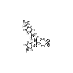 O=C(C1CCS(=O)(=O)CC1)N1CCN(c2ccc(C(F)(F)F)cn2)C[C@H]1c1ccc(F)cc1